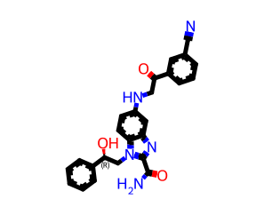 N#Cc1cccc(C(=O)CNc2ccc3c(c2)nc(C(N)=O)n3C[C@H](O)c2ccccc2)c1